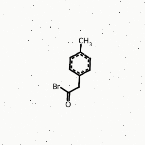 Cc1ccc(CC(=O)Br)cc1